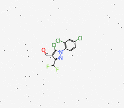 O=Cc1c(C(F)F)nn(-c2ccc(Cl)cc2Cl)c1Cl